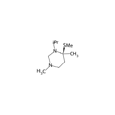 CS[C@@]1(C)CCN(C)CN1C(C)C